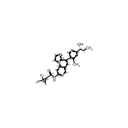 CC[C@@H](O)c1cc(C)c(-c2cc3cnc(NC(=O)C4CC4(F)F)cc3n3ccnc23)cn1